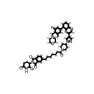 O=C1CCC(N2C(=O)c3ccc(CCCCCCC(=O)N4CCC(n5cc(-c6cnc7cccc(-c8cc(F)c(CN9CCOCC9)c(F)c8)c7n6)cn5)CC4)cc3C2=O)C(=O)N1